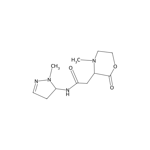 CN1CCOC(=O)C1CC(=O)NC1CC=NN1C